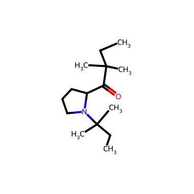 CCC(C)(C)C(=O)C1CCCN1C(C)(C)CC